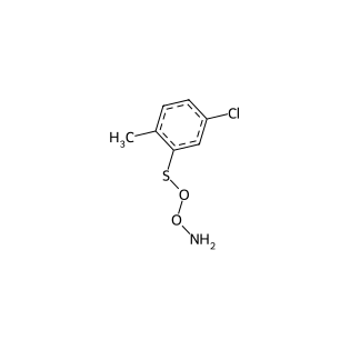 Cc1ccc(Cl)cc1SOON